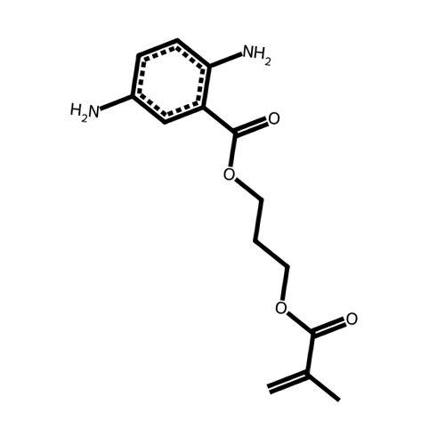 C=C(C)C(=O)OCCCOC(=O)c1cc(N)ccc1N